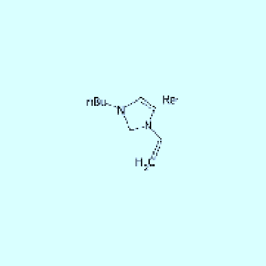 C=CN1C=CN(CCCC)C1.[Re]